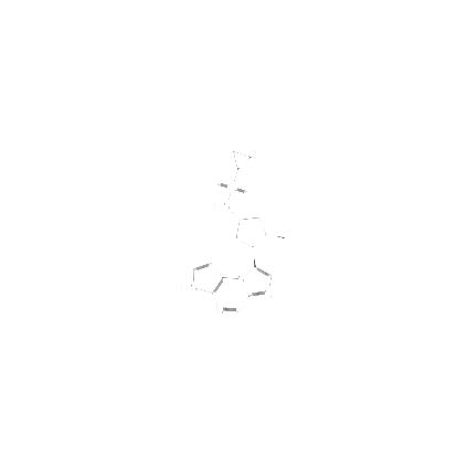 C[C@@H]1C[C@H](NS(=O)(=O)C2CC2)C[C@@H]1c1cnc2cnc3[nH]ccc3n12